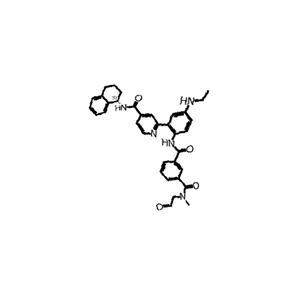 CCNc1ccc(NC(=O)c2cccc(C(=O)N(C)CC=O)c2)c(-c2cc(C(=O)N[C@H]3CCCc4ccccc43)ccn2)c1